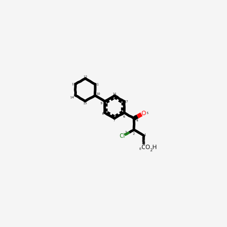 O=C(O)CC(Cl)C(=O)c1ccc(C2CCCCC2)cc1